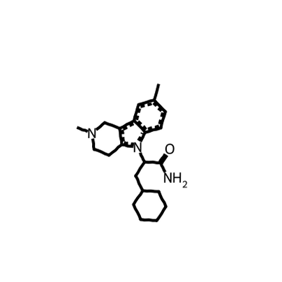 Cc1ccc2c(c1)c1c(n2C(CC2CCCCC2)C(N)=O)CCN(C)C1